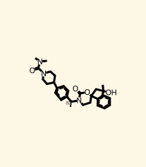 C[C@@H](c1ccc(C2CCN(C(=O)N(C)C)CC2)cc1)N1CCC(CC(C)(C)O)(c2ccccc2)OC1=O